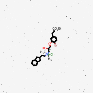 CCOC(=O)CCc1ccc(Br)c(OC[C@H](O)C[N+](C)(C)CCC2Cc3ccccc3C2)c1.Cl